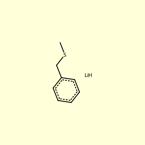 CSCc1ccccc1.[LiH]